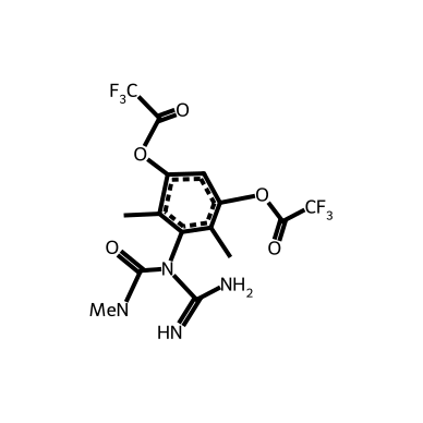 CNC(=O)N(C(=N)N)c1c(C)c(OC(=O)C(F)(F)F)cc(OC(=O)C(F)(F)F)c1C